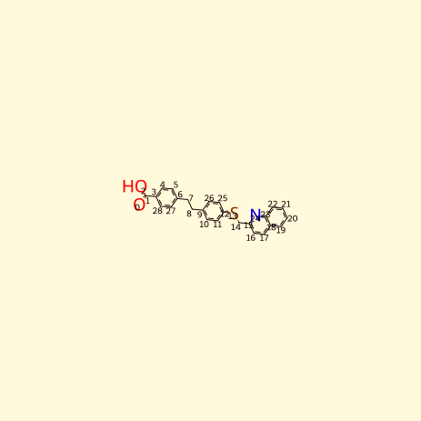 O=C(O)c1ccc(CCc2ccc(SCc3ccc4ccccc4n3)cc2)cc1